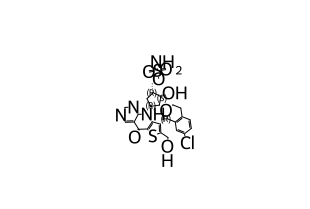 NS(=O)(=O)OC[C@H]1C[C@@H](Nc2ncncc2C(=O)c2cc([C@@H]3OCCc4ccc(Cl)cc43)c(CO)s2)C[C@@H]1O